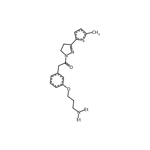 CCN(CC)CCCOc1cccc(CC(=O)N2CCC(c3ccc(C)s3)=N2)c1